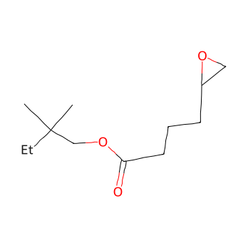 CCC(C)(C)COC(=O)CCCC1CO1